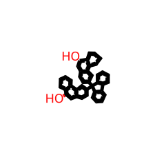 Oc1cc2ccc(C3(c4ccc5cc(O)c6ccccc6c5c4)c4ccccc4-c4ccccc43)cc2c2ccccc12